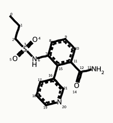 CCCS(=O)(=O)Nc1cccc(C(N)=O)c1-c1cccnc1